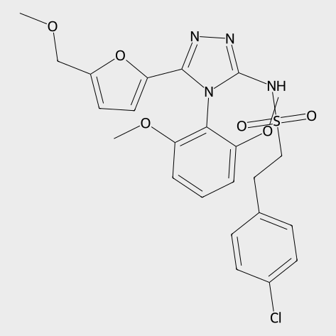 COCc1ccc(-c2nnc(NS(=O)(=O)CCc3ccc(Cl)cc3)n2-c2c(OC)cccc2OC)o1